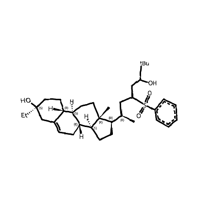 CC[C@]1(O)CC[C@H]2C(=CC[C@@H]3[C@@H]2CC[C@]2(C)[C@@H]([C@H](C)CC(CC(O)C(C)(C)C)S(=O)(=O)c4ccccc4)CC[C@@H]32)C1